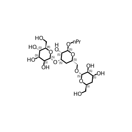 CCCO[C@H]1O[C@H](CO[C@H]2O[C@H](CO)C[C@H](O)[C@@H]2O)C[C@H](O[C@H]2O[C@H](CO)[C@@H](O)[C@H](O)[C@@H]2O)[C@@H]1O